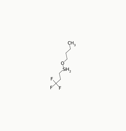 CCCCO[SiH2]CCC(F)(F)F